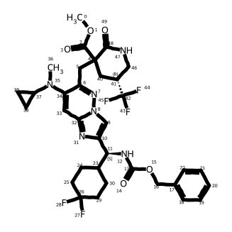 COC(=O)C1(Cc2nn3cc([C@@H](NC(=O)OCc4ccccc4)C4CCC(F)(F)CC4)nc3cc2N(C)C2CC2)C[C@@H](C(F)(F)F)CNC1=O